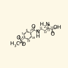 CS(=O)(=O)c1ccc(C(=O)NCC[C@H](N)C(=O)O)cc1